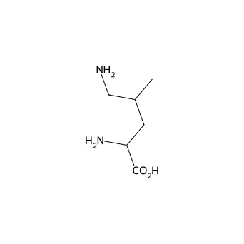 CC(CN)CC(N)C(=O)O